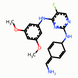 COc1cc(Nc2nc(NC3C=CC(=CN)C=C3)ncc2F)cc(OC)c1